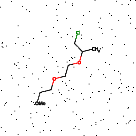 [CH2]C(CCl)OCCOCCOC